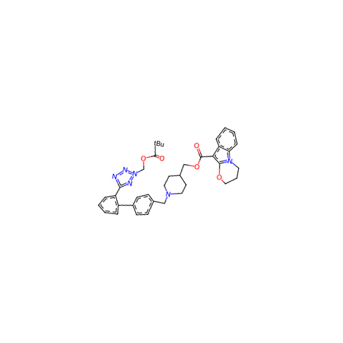 CC(C)(C)C(=O)OCn1nnc(-c2ccccc2-c2ccc(CN3CCC(COC(=O)c4c5n(c6ccccc46)CCCO5)CC3)cc2)n1